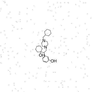 Oc1cccc(C(CN2CCN(CC3CCCCC3)CC2)C2(O)CCCCC2)c1